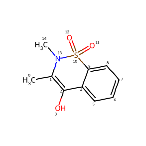 CC1=C(O)c2ccccc2S(=O)(=O)N1C